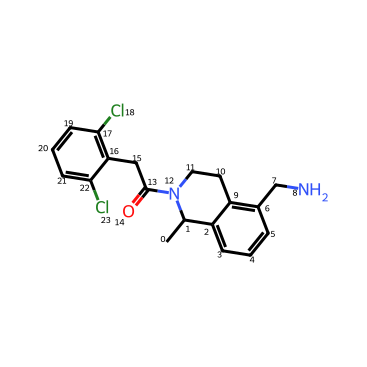 CC1c2cccc(CN)c2CCN1C(=O)Cc1c(Cl)cccc1Cl